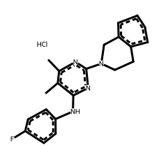 Cc1nc(N2CCc3ccccc3C2)nc(Nc2ccc(F)cc2)c1C.Cl